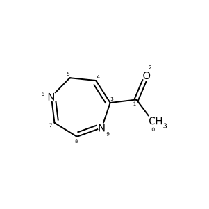 CC(=O)C1=CCN=CC=N1